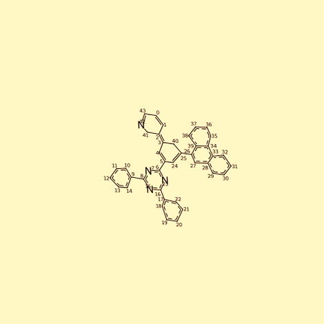 C1=CC(=C2C=C(c3nc(-c4ccccc4)nc(-c4ccccc4)n3)C=C(c3cc4ccccc4c4ccccc34)C2)CN=C1